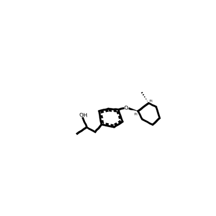 CC(O)Cc1ccc(O[C@@H]2CCCC[C@H]2C)cc1